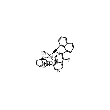 CC(C)[Si](C#Cc1cccc2cccc(-c3ncc4c(N5CC6CCC(C5)N6C(=O)O)cncc4c3F)c12)(C(C)C)C(C)C